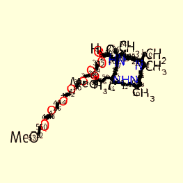 C=CC1=C(C)c2cc3cc(C)c(cc4nc(cc5[nH]c(cc1n2)C(C)C5(C=C)CCC(=O)OCCOCCOCCOCCOCCOCCOCCOC)C(CCC(=O)OC)C4C)[nH]3